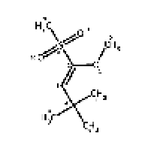 COC(=CC(C)(C)C)S(C)(=O)=O